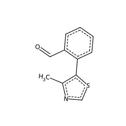 Cc1ncsc1-c1ccccc1C=O